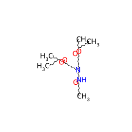 CCCCCCCC(=O)NCCCCN(CCCCCCCC(=O)OCC(CCCC)CCCCCC)CCCCCCCC(=O)OCC(CCCC)CCCCCC